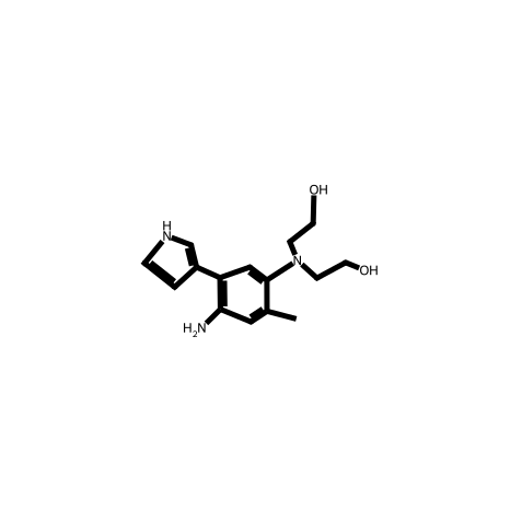 Cc1cc(N)c(-c2cc[nH]c2)cc1N(CCO)CCO